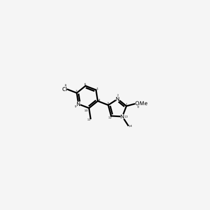 COc1nc(-c2ccc(Cl)nc2C)cn1C